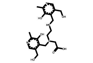 Cc1ncc(CO)c(CNCCN(CC(=O)O)Cc2c(CO)cnc(C)c2O)c1O